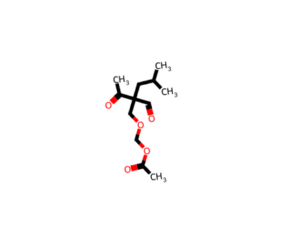 CC(=O)OCOCC(C=O)(CC(C)C)C(C)=O